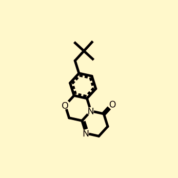 CC(C)(C)Cc1ccc2c(c1)OCC1=NCCC(=O)N12